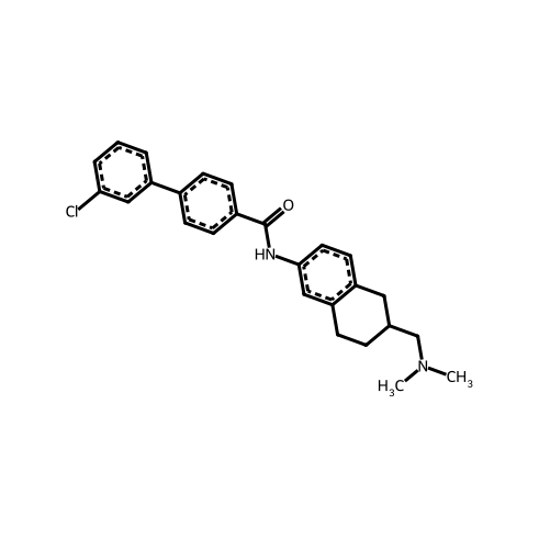 CN(C)CC1CCc2cc(NC(=O)c3ccc(-c4cccc(Cl)c4)cc3)ccc2C1